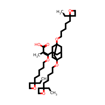 CCC1(CCCCCOC(=C(C)C(=O)O)C23CC4CC(OCCCCCC5(CC)CCO5)(CC(OCCCCCC5(CC)CCO5)(C4)C2)C3)CCO1